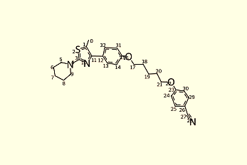 Cc1sc(N2CCCCC2)nc1-c1ccc(OCCCCCOc2ccc(C#N)cc2)cc1